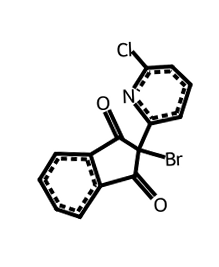 O=C1c2ccccc2C(=O)C1(Br)c1cccc(Cl)n1